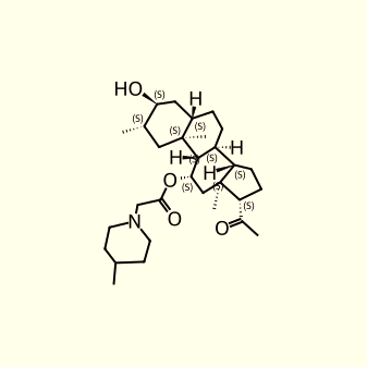 CC(=O)[C@H]1CC[C@H]2[C@@H]3CC[C@H]4C[C@H](O)[C@@H](C)C[C@]4(C)[C@H]3[C@@H](OC(=O)CN3CCC(C)CC3)C[C@]12C